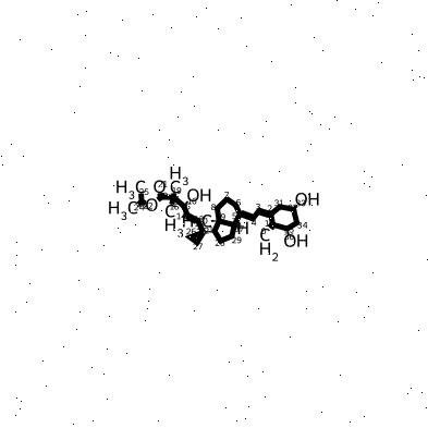 C=C1/C(=C\C=C2/CCC[C@]3(C)[C@@H](C4(/C=C/[C@@H](O)C(C)(C)C(=O)OC(C)C)CC4)CC[C@@H]23)C[C@@H](O)C[C@@H]1O